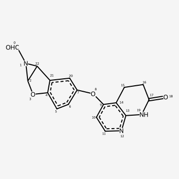 O=CN1C2Oc3ccc(Oc4ccnc5c4CCC(=O)N5)cc3C21